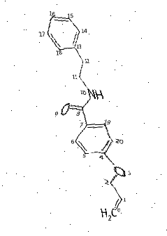 C=CCOc1ccc(C(=O)NCCc2ccccc2)cc1